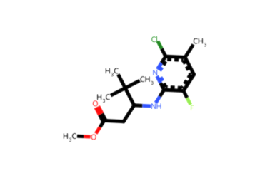 COC(=O)CC(Nc1nc(Cl)c(C)cc1F)C(C)(C)C